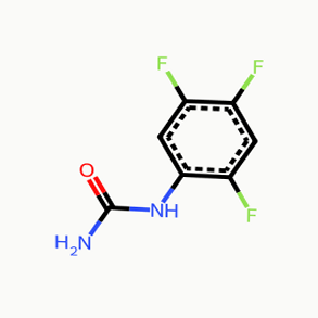 NC(=O)Nc1cc(F)c(F)cc1F